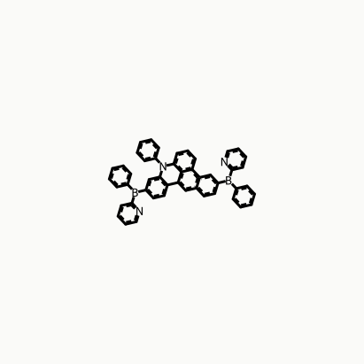 c1ccc(B(c2ccc3c(c2)N(c2ccccc2)c2cccc4c2c-3cc2ccc(B(c3ccccc3)c3ccccn3)cc24)c2ccccn2)cc1